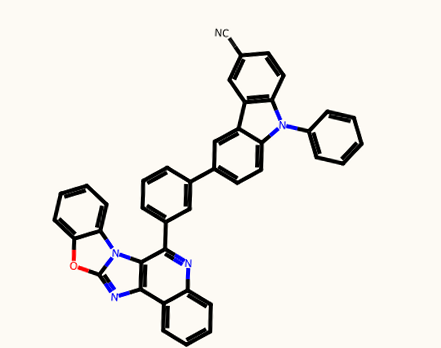 N#Cc1ccc2c(c1)c1cc(-c3cccc(-c4nc5ccccc5c5nc6oc7ccccc7n6c45)c3)ccc1n2-c1ccccc1